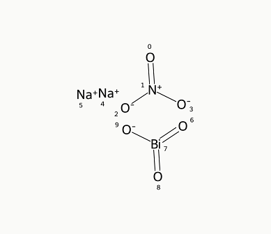 O=[N+]([O-])[O-].[Na+].[Na+].[O]=[Bi](=[O])[O-]